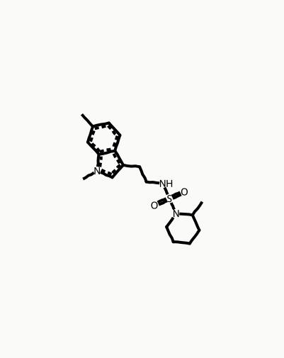 Cc1ccc2c(CCNS(=O)(=O)N3CCCCC3C)cn(C)c2c1